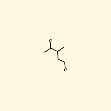 CC(Cl)C(C)CCCl